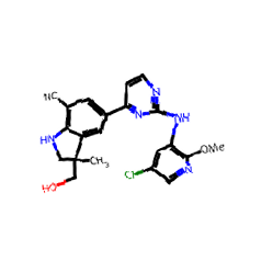 COc1ncc(Cl)cc1Nc1nccc(-c2cc(C#N)c3c(c2)C(C)(CO)CN3)n1